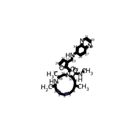 C=C1/C=C\C=C/CC(C)C[C@H](C(=O)NC)N(C(=O)c2occc2CNc2ccc3nccnc3c2)CC(C)N1